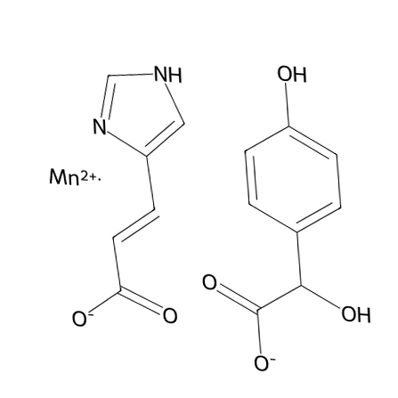 O=C([O-])C(O)c1ccc(O)cc1.O=C([O-])C=Cc1c[nH]cn1.[Mn+2]